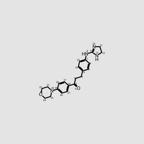 O=C(CCc1ccc(NC2=NCCN2)cc1)c1ccc(N2CCOCC2)cc1